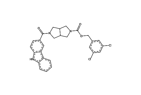 O=C(OCc1cc(Cl)cc(Cl)c1)N1CC2CN(C(=O)c3ccc4[nH]c5ccccc5c4c3)CC2C1